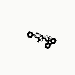 CC(=O)C1CN(c2ccccc2)CCN1CCCCC1(C(=O)O)c2ccccc2-c2ccccc21